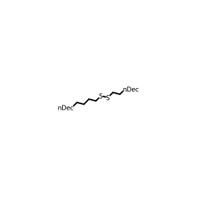 CCCCCCCCCCCCCCSSCCCCCCCCCCCC